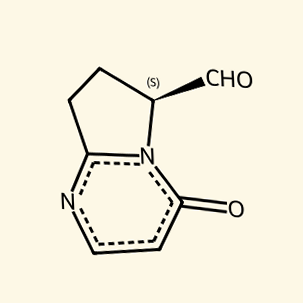 O=C[C@@H]1CCc2nccc(=O)n21